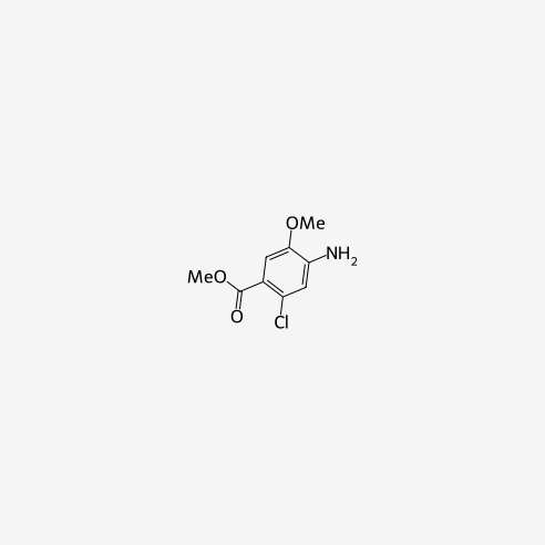 COC(=O)c1cc(OC)c(N)cc1Cl